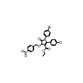 CCOC(=O)C1=C(c2ccc(Cl)cc2)N(c2ccc(Br)cc2)C(=O)C1OCc1ccc([N+](=O)[O-])cc1